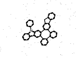 c1ccc(-n2c3ccccc3c3cc4c(cc32)-c2cc3c(cc2-c2ccccc2-c2ccccc2-4)-c2ccccc2C3)cc1